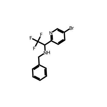 FC(F)(F)C(NCc1ccccc1)c1ccc(Br)cn1